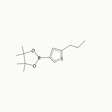 CCCc1cc(B2OC(C)(C)C(C)(C)O2)cs1